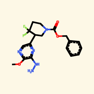 COc1ncc(C2CN(C(=O)OCc3ccccc3)CCC2(F)F)nc1NN